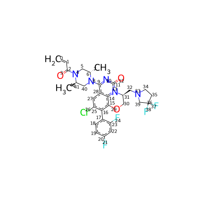 C=CC(=O)N1C[C@H](C)N(c2nc(=O)n3c4c(c(-c5ccc(F)cc5F)c(Cl)cc24)OC[C@@H]3CN2CCC(F)(F)C2)C[C@H]1C